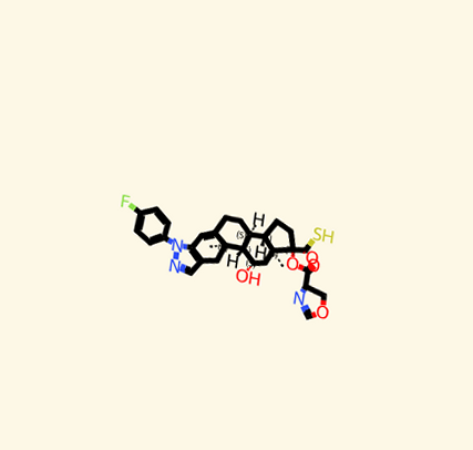 C[C@]12Cc3cnn(-c4ccc(F)cc4)c3C=C1CC[C@@H]1[C@@H]2[C@@H](O)C[C@@]2(C)[C@H]1CC[C@]2(OC(=O)C1COC=N1)C(=O)S